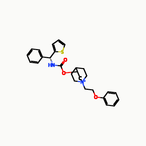 O=C(N[C@H](c1ccccc1)c1cccs1)OC1C[N+]2(CCOc3ccccc3)CCC1CC2